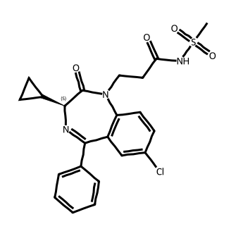 CS(=O)(=O)NC(=O)CCN1C(=O)[C@H](C2CC2)N=C(c2ccccc2)c2cc(Cl)ccc21